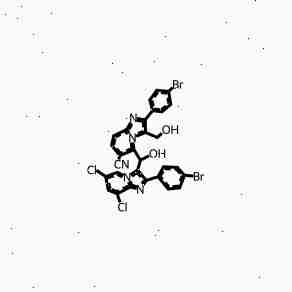 N#Cc1ccc2nc(-c3ccc(Br)cc3)c(CO)n2c1C(O)c1c(-c2ccc(Br)cc2)nc2c(Cl)cc(Cl)cn12